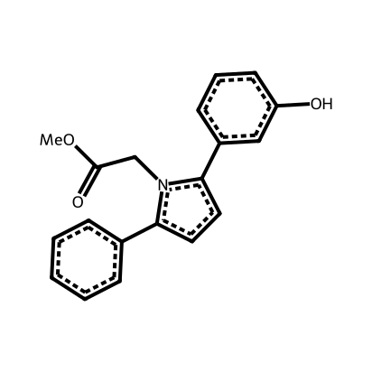 COC(=O)Cn1c(-c2ccccc2)ccc1-c1cccc(O)c1